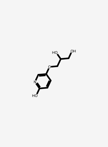 OCC(O)COc1ccc(O)nc1